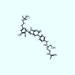 CC(=N)NCC[C@H](CO)NCc1ccc(-n2cc3cc(-c4cc(CCCC(C)(C)N)cc(Cl)c4F)[nH]c3nc2=O)cc1